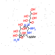 CNCC(C)NCC(C)N.NC(=O)[C@H](O)[C@@H](O)[C@H](O)[C@H](O)CO.NC(=O)[C@H](O)[C@@H](O)[C@H](O)[C@H](O)CO